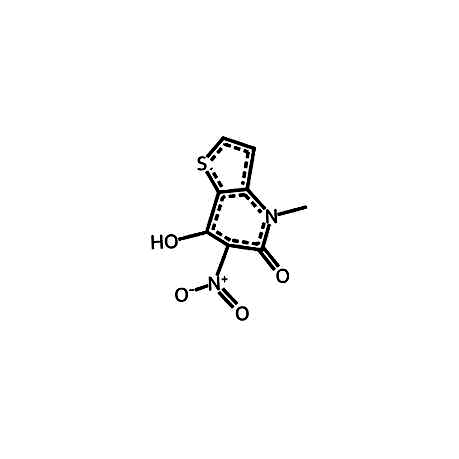 Cn1c(=O)c([N+](=O)[O-])c(O)c2sccc21